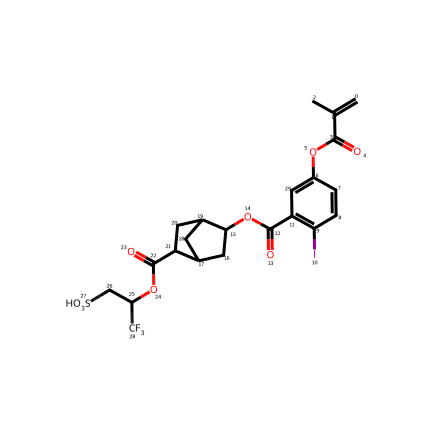 C=C(C)C(=O)Oc1ccc(I)c(C(=O)OC2CC3CC2CC3C(=O)OC(CS(=O)(=O)O)C(F)(F)F)c1